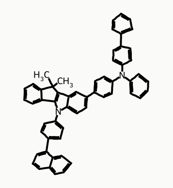 CC1(C)c2ccccc2-c2c1c1cc(-c3ccc(N(c4ccccc4)c4ccc(-c5ccccc5)cc4)cc3)ccc1n2-c1ccc(-c2cccc3ccccc23)cc1